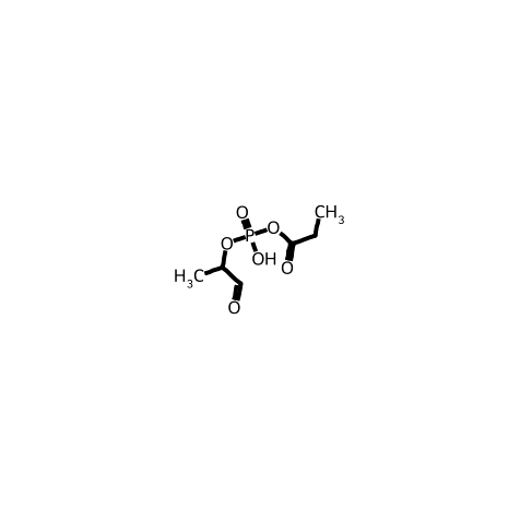 CCC(=O)OP(=O)(O)OC(C)C=O